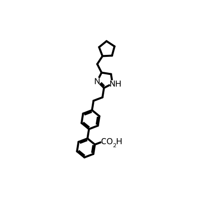 O=C(O)c1ccccc1-c1ccc(CCC2=NC(CC3CCCC3)CN2)cc1